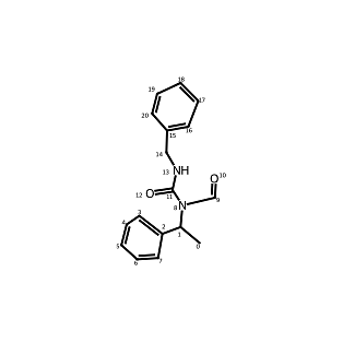 CC(c1ccccc1)N(C=O)C(=O)NCc1ccccc1